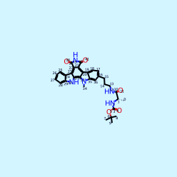 C[C@H](NC(=O)OC(C)(C)C)C(=O)NCCCc1ccc2c3c4c(c5c6ccccc6[nH]c5c3n(C)c2c1)C(=O)NC4=O